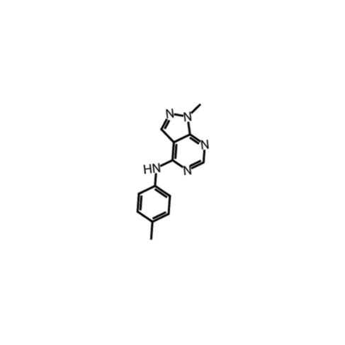 Cc1ccc(Nc2ncnc3c2cnn3C)cc1